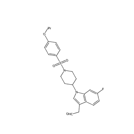 CC(C)Oc1ccc(S(=O)(=O)N2CCC(n3cc(CC=O)c4ccc(F)cc43)CC2)cc1